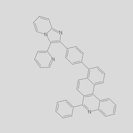 c1ccc(-c2nc3ccccc3c3c2ccc2c(-c4ccc(-c5nc6ccccn6c5-c5ccccn5)cc4)cccc23)cc1